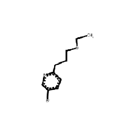 CCOCCCc1ccc(Br)cn1